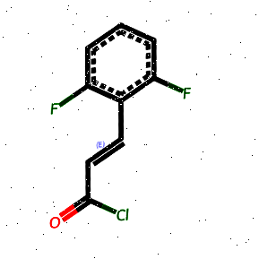 O=C(Cl)/C=C/c1c(F)cccc1F